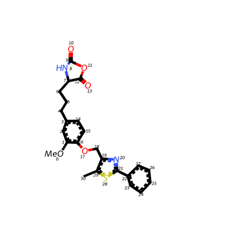 COc1cc(CCCC2NC(=O)OC2=O)ccc1OCc1nc(-c2ccccc2)sc1C